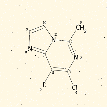 Cc1nc(Cl)c(I)c2nccn12